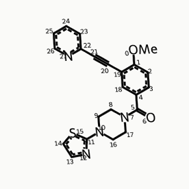 COc1ccc(C(=O)N2CCN(c3nccs3)CC2)cc1C#Cc1ccccn1